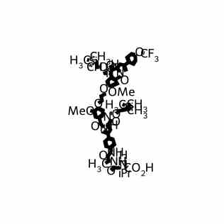 COc1cc2c(cc1OCCCOc1cc3c(cc1OC)C(=O)N1C=C(c4ccc(OC(F)(F)F)cc4)C[C@H]1C(=O)N3COCC[Si](C)(C)C)N(COCC[Si](C)(C)C)C(=O)[C@@H]1CC(c3ccc(NC(=O)C(C)NC(=O)C(NC(=O)O)C(C)C)cc3)=CN1C2=O